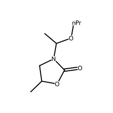 CCCOC(C)N1CC(C)OC1=O